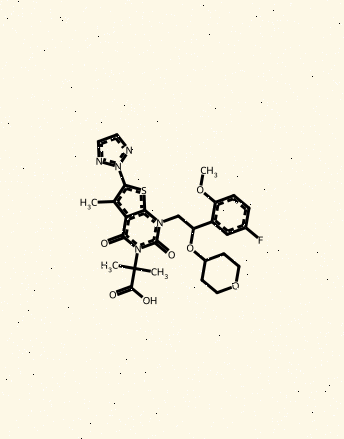 COc1ccc(F)cc1C(Cn1c(=O)n(C(C)(C)C(=O)O)c(=O)c2c(C)c(-n3nccn3)sc21)OC1CCOCC1